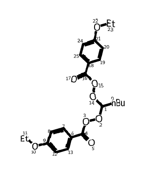 [CH2]CCC[C](OOC(=O)c1ccc(OCC)cc1)OOC(=O)c1ccc(OCC)cc1